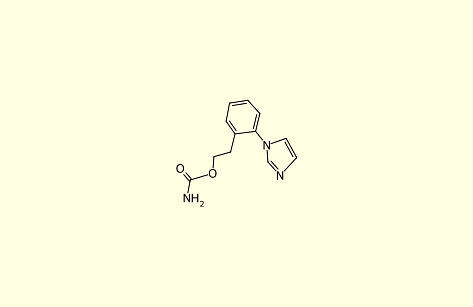 NC(=O)OCCc1ccccc1-n1ccnc1